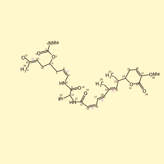 CNC(=O)OC(C/C=C\NC(=O)C(NC(=O)\C=C/C=C/C(C)=C/C(C)C1CC=C(OC)C(=O)O1)C(C)C)C/C=C(\C)Cl